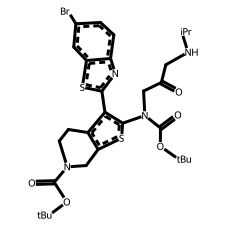 CC(C)NCC(=O)CN(C(=O)OC(C)(C)C)c1sc2c(c1-c1nc3ccc(Br)cc3s1)CCN(C(=O)OC(C)(C)C)C2